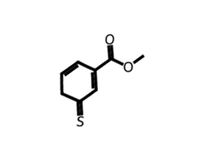 COC(=O)C1=CC(=S)CC=C1